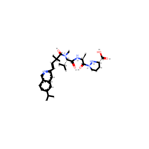 CC(C)c1ccc2cnc(/C=C/C(C)(C)C(=O)N(C)[C@H](C(=O)N[C@@H](C)C(=O)N3CCC[C@@H](C(=O)O)N3)C(C)C)cc2c1